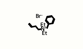 C=CCC[N+](CC)(CC)Cc1ccccc1.[Br-]